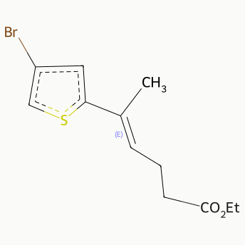 CCOC(=O)CC/C=C(\C)c1cc(Br)cs1